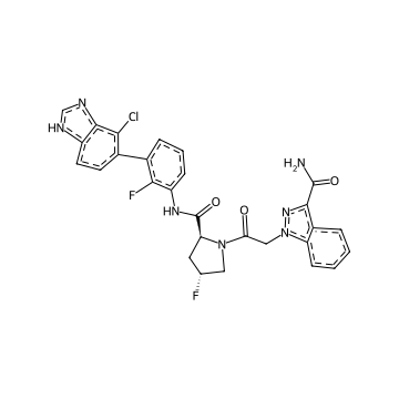 NC(=O)c1nn(CC(=O)N2C[C@H](F)C[C@H]2C(=O)Nc2cccc(-c3ccc4[nH]cnc4c3Cl)c2F)c2ccccc12